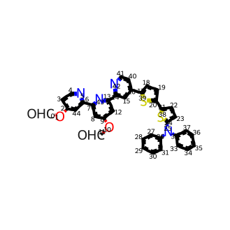 O=COc1ccnc(-c2cc(OC=O)cc(-c3cc(-c4ccc(-c5ccc(N(c6ccccc6)c6ccccc6)s5)s4)ccn3)n2)c1